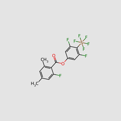 Cc1cc(C)c(C(=O)Oc2cc(F)c(S(F)(F)(F)(F)F)c(F)c2)c(F)c1